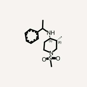 CC(N[C@H]1CCN(S(C)(=O)=O)C[C@H]1C)c1ccccc1